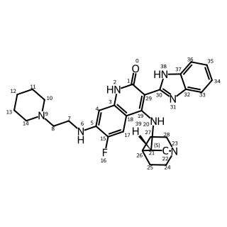 O=c1[nH]c2cc(NCCN3CCCCC3)c(F)cc2c(N[C@@H]2CN3CCC2CC3)c1-c1nc2ccccc2[nH]1